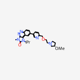 CO[C@H]1CCN(CCOCc2ccc(-c3ccc4nnc5c(c4c3)n(C(C)C)c(=O)n5C)cn2)C1